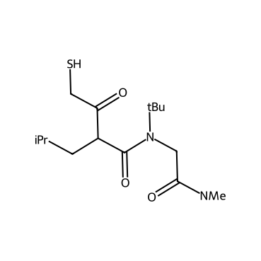 CNC(=O)CN(C(=O)C(CC(C)C)C(=O)CS)C(C)(C)C